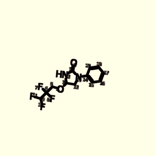 O=C1NC(OCC(F)(F)C(F)F)CN1c1ccccc1